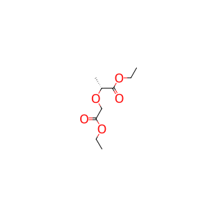 CCOC(=O)CO[C@H](C)C(=O)OCC